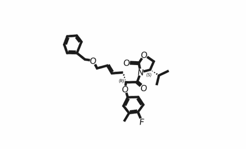 Cc1cc(O[C@H](CC=CCOCc2ccccc2)C(=O)N2C(=O)OC[C@@H]2C(C)C)ccc1F